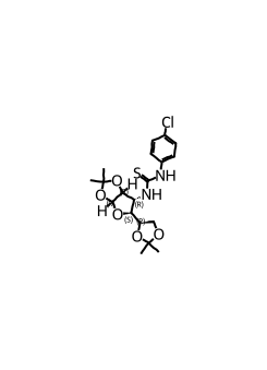 CC1(C)O[C@H]2O[C@H]([C@H]3COC(C)(C)O3)[C@@H](NC(=S)Nc3ccc(Cl)cc3)[C@H]2O1